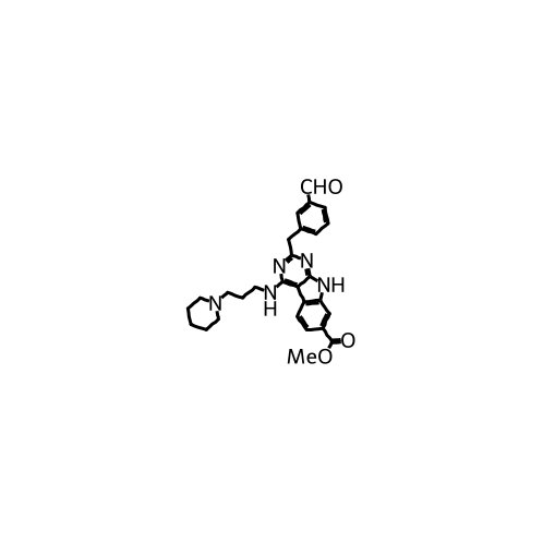 COC(=O)c1ccc2c(c1)[nH]c1nc(Cc3cccc(C=O)c3)nc(NCCCN3CCCCC3)c12